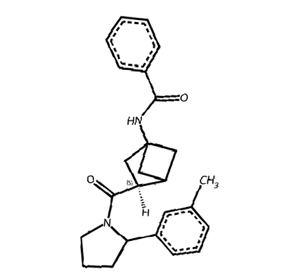 Cc1cccc(C2CCCN2C(=O)[C@H]2CC3(NC(=O)c4ccccc4)CC2C3)c1